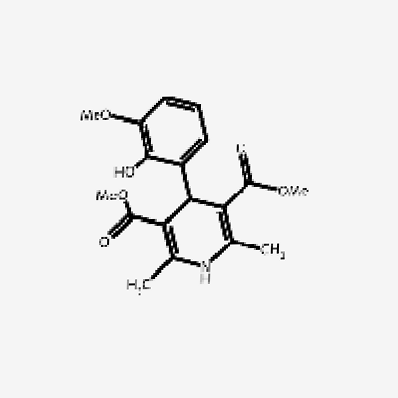 COC(=O)C1=C(C)NC(C)=C(C(=O)OC)C1c1cccc(OC)c1O